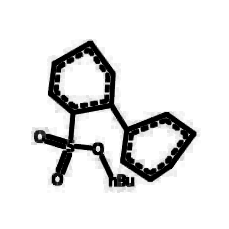 CCCCOS(=O)(=O)c1ccccc1-c1ccccc1